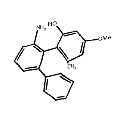 COc1cc(C)c(-c2c(N)cccc2-c2ccccc2)c(O)c1